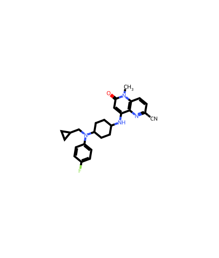 Cn1c(=O)cc(NC2CCC(N(CC3CC3)c3ccc(F)cc3)CC2)c2nc(C#N)ccc21